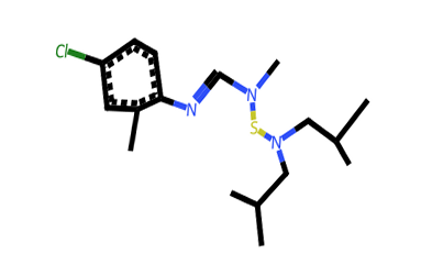 Cc1cc(Cl)ccc1N=CN(C)SN(CC(C)C)CC(C)C